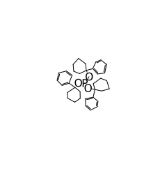 c1ccc(C2(OP(OC3(c4ccccc4)CCCCC3)OC3(c4ccccc4)CCCCC3)CCCCC2)cc1